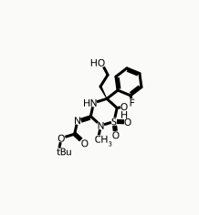 CN1/C(=N\C(=O)OC(C)(C)C)N[C@](CCO)(c2ccccc2F)C(O)S1(=O)=O